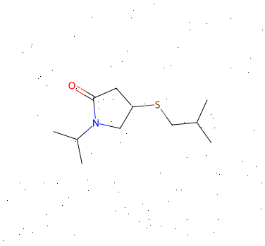 CC(C)CSC1CC(=O)N(C(C)C)C1